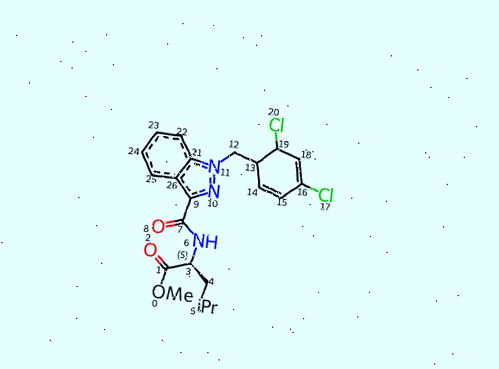 COC(=O)[C@H](CC(C)C)NC(=O)c1nn(CC2C=CC(Cl)=CC2Cl)c2ccccc12